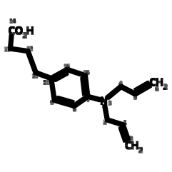 C=CCN(CC=C)c1ccc(CCCC(=O)O)cc1